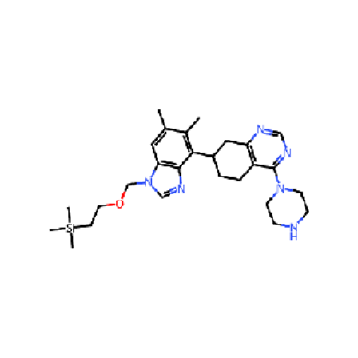 Cc1cc2c(ncn2COCC[Si](C)(C)C)c(C2CCc3c(ncnc3N3CCNCC3)C2)c1C